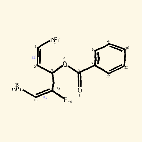 CCC/C=C\C(OC(=O)c1ccccc1)/C(F)=C\CCC